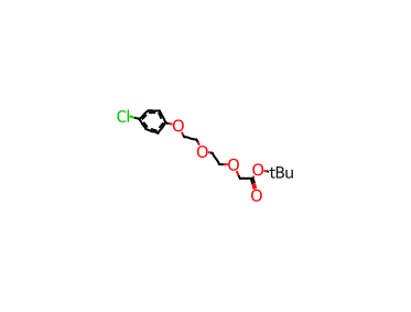 CC(C)(C)OC(=O)COCCOCCOc1ccc(Cl)cc1